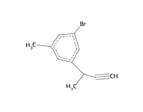 C#C[C](C)c1cc(C)cc(Br)c1